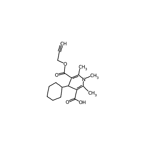 C#CCOC(=O)C1=C(C)N(C)C(C)=C(C(=O)O)C1C1CCCCC1